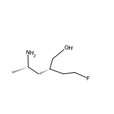 C[C@H](N)C[C@H](CO)CCF